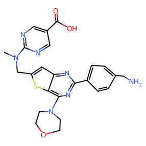 CN(Cc1cc2nc(-c3ccc(CN)cc3)nc(N3CCOCC3)c2s1)c1ncc(C(=O)O)cn1